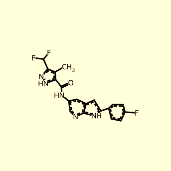 Cc1c(C(F)F)n[nH]c1C(=O)Nc1cnc2[nH]c(-c3ccc(F)cc3)cc2c1